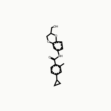 Cc1cc(C2CC2)ccc1C(=O)Nc1ccc2c(c1)OCC(CO)O2